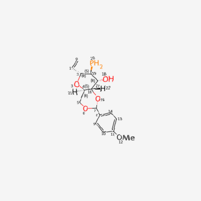 C=C[C@H]1O[C@@H]2COC(c3ccc(OC)cc3)O[C@H]2[C@@H](O)[C@@H]1P